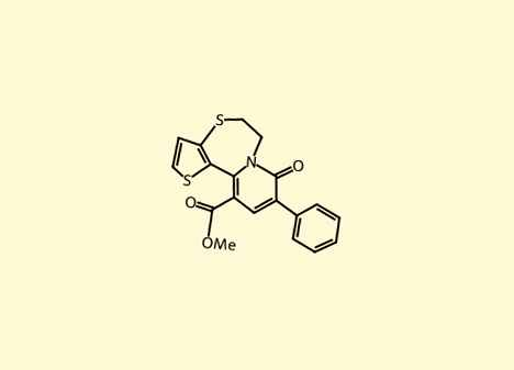 COC(=O)c1cc(-c2ccccc2)c(=O)n2c1-c1sccc1SCC2